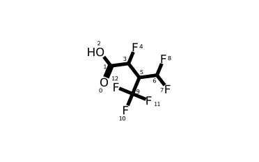 O=C(O)C(F)C(C(F)F)C(F)(F)F